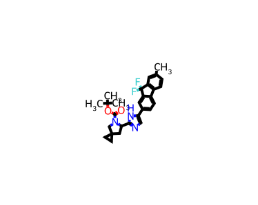 Cc1ccc2c(c1)C(F)(F)c1cc(-c3cnc(C4CC5(CC5)CN4C(=O)OC(C)(C)C)[nH]3)ccc1-2